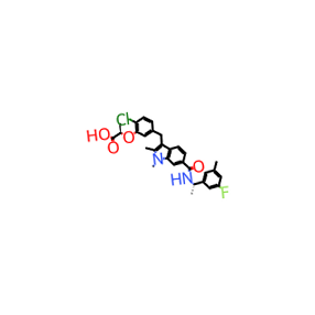 Cc1cc(F)cc([C@H](C)NC(=O)c2ccc3c(Cc4ccc(Cl)c(O[C@H](C)C(=O)O)c4)c(C)n(C)c3c2)c1